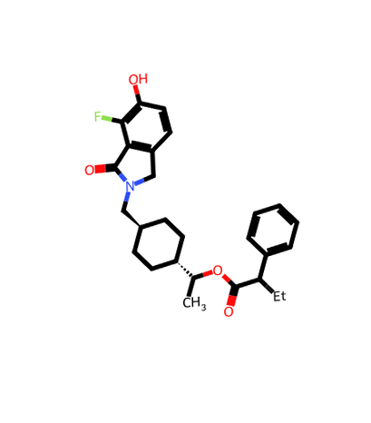 CCC(C(=O)OC(C)[C@H]1CC[C@H](CN2Cc3ccc(O)c(F)c3C2=O)CC1)c1ccccc1